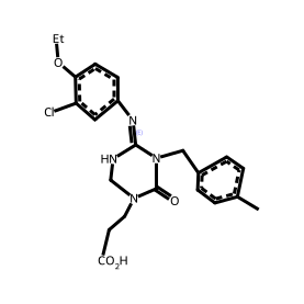 CCOc1ccc(/N=C2\NCN(CCC(=O)O)C(=O)N2Cc2ccc(C)cc2)cc1Cl